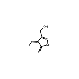 C/C=C1\C(=O)NN=C1CO